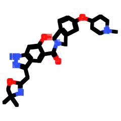 CN1CCC(Oc2ccc3c(c2)CN(C(=O)c2cc4c(CC5=NC(C)(C)CO5)n[nH]c4cc2O)C3)CC1